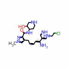 Cn1cc(C\C=C/C=C(N)/C(C=N)=C/NCCCl)c(C(=O)NC2CCNCC2O)n1